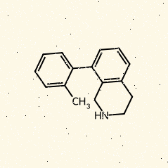 Cc1ccccc1-c1cccc2c1CNCC2